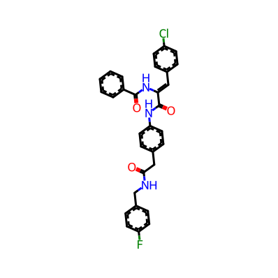 O=C(Cc1ccc(NC(=O)/C(=C/c2ccc(Cl)cc2)NC(=O)c2ccccc2)cc1)NCc1ccc(F)cc1